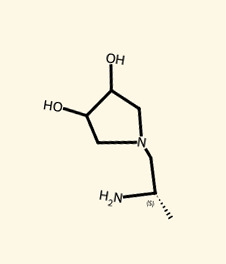 C[C@H](N)CN1CC(O)C(O)C1